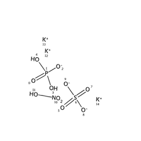 O=P([O-])(O)O.O=S(=O)([O-])[O-].O=[N+]([O-])O.[K+].[K+].[K+]